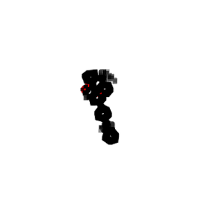 CC1(C)c2ccccc2C2(c3ccccc3Sc3cc(-c4ccc(-c5nc6ccccc6o5)cc4)ccc32)c2ccccc21